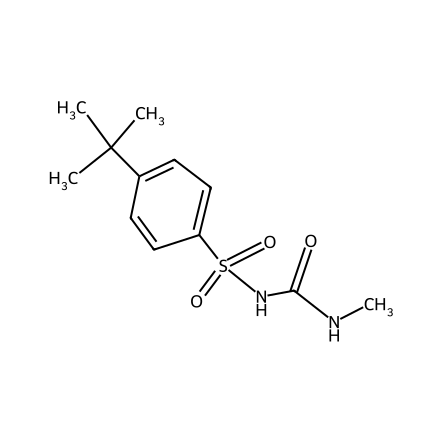 CNC(=O)NS(=O)(=O)c1ccc(C(C)(C)C)cc1